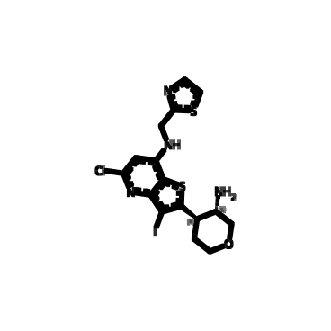 N[C@@H]1COCC[C@H]1c1sc2c(NCc3nccs3)cc(Cl)nc2c1I